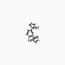 c1cc(-c2ncc[nH]2)cc(-c2ncc[nH]2)c1